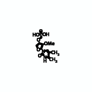 C=C1NC(=O)N([C@@H]2OC[C@H](OCP(=O)(O)O)[C@H]2OC)C=C1C